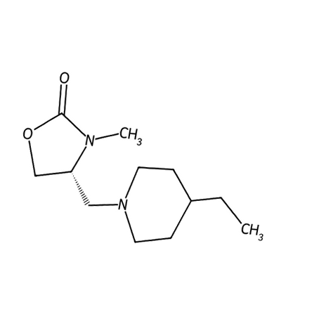 CCC1CCN(C[C@@H]2COC(=O)N2C)CC1